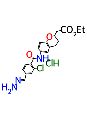 CCOC(=O)CC1CCc2cc(NC(=O)c3ccc(C=NN)cc3Cl)ccc2O1.Cl